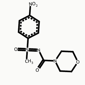 CS(=O)(=NC(=O)N1CCOCC1)c1ccc([N+](=O)[O-])cc1